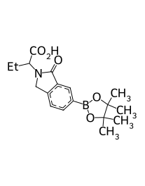 CCC(C(=O)O)N1Cc2ccc(B3OC(C)(C)C(C)(C)O3)cc2C1=O